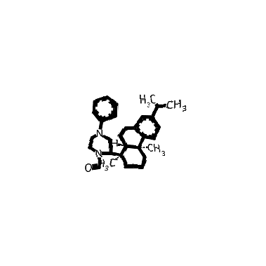 CC(C)c1ccc2c(c1)CC[C@H]1[C@](C)(C3CN(c4ccccc4)CCN3C=O)CCC[C@]21C